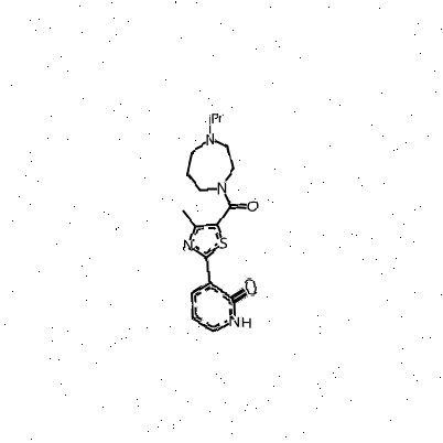 Cc1nc(-c2ccc[nH]c2=O)sc1C(=O)N1CCCN(C(C)C)CC1